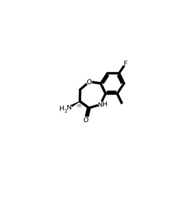 Cc1cc(F)cc2c1NC(=O)[C@@H](N)CO2